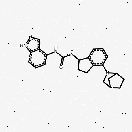 O=C(Nc1cccc2[nH]ncc12)NC1CCc2c1cccc2N1CC2CCC1C2